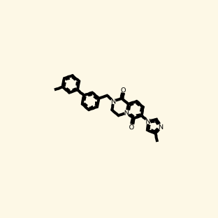 Cc1cccc(-c2cccc(CN3CCn4c(ccc(-n5cnc(C)c5)c4=O)C3=O)c2)c1